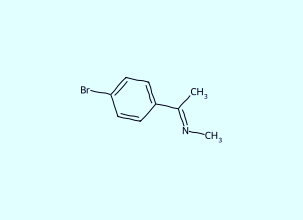 C/N=C(\C)c1ccc(Br)cc1